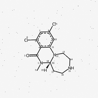 CN1C(=O)c2c(Cl)cc(Cl)cc2N2CCNCC[C@H]12